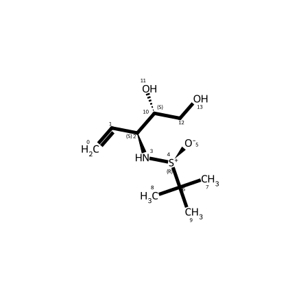 C=C[C@H](N[S@@+]([O-])C(C)(C)C)[C@H](O)CO